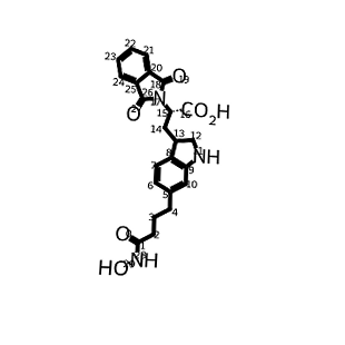 O=C(CCCc1ccc2c(c1)NCC2C[C@@H](C(=O)O)N1C(=O)c2ccccc2C1=O)NO